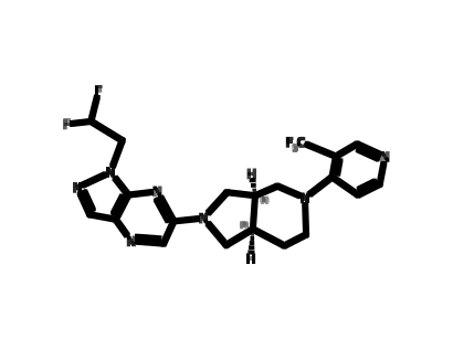 FC(F)Cn1ncc2ncc(N3C[C@@H]4CCN(c5ccncc5C(F)(F)F)C[C@@H]4C3)nc21